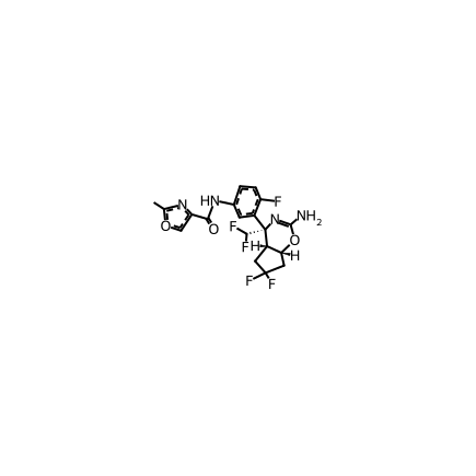 Cc1nc(C(=O)Nc2ccc(F)c([C@@]3(C(F)F)N=C(N)O[C@@H]4CC(F)(F)C[C@@H]43)c2)co1